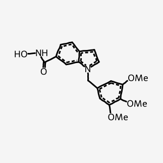 COc1cc(Cn2ccc3ccc(C(=O)NO)cc32)cc(OC)c1OC